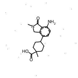 CN1Cc2c(C3CCC(C)(C(=O)O)CC3)ccc(N)c2C1=O